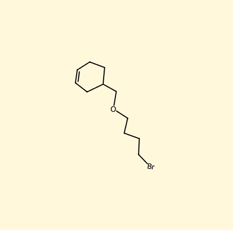 BrCCCCOCC1CC=CCC1